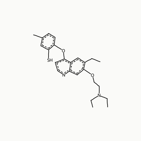 CCc1cc2c(Oc3ccc(C)cc3S)ccnc2cc1OCCN(CC)CC